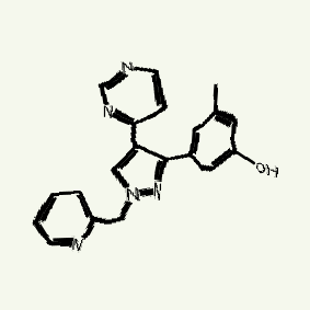 Cc1cc(O)cc(-c2nn(Cc3ccccn3)cc2-c2ccncn2)c1